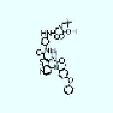 Cc1cc(Oc2ccccc2)ccc1N1C(=O)Nc2c(C(=O)N[C@H]3CC[C@@H](NC(=O)CN(CC(C)(C)C)C(=O)O)C3)sc3nccc1c23